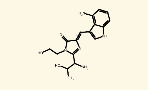 CC(O)C(N)C1=N/C(=C\c2c[nH]c3cccc(N)c23)C(=O)N1CCO